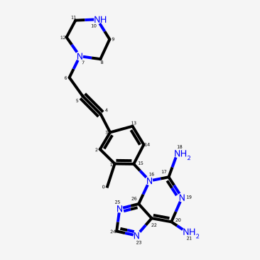 Cc1cc(C#CCN2CCNCC2)ccc1-n1c(N)nc(N)c2ncnc1-2